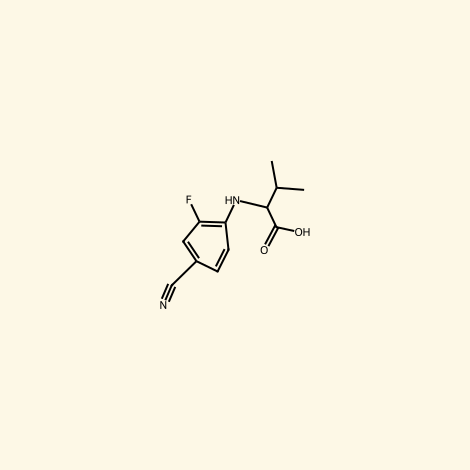 CC(C)C(Nc1ccc(C#N)cc1F)C(=O)O